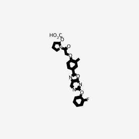 Cc1cc(-c2nc3cnc(Oc4ccccc4F)nc3o2)ccc1OCC(=O)N1CCC[C@@H]1OC(=O)O